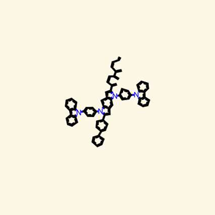 C=C/C=C\C(=C)C(=C)/C=C\C(=C)c1cc2cc3c(cc(-c4ccc(-c5ccccc5)cc4)n3-c3ccc(-n4c5ccccc5c5ccccc54)cc3)cc2n1-c1ccc(-n2c3ccccc3c3ccccc32)cc1